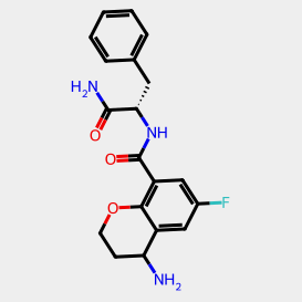 NC(=O)[C@H](Cc1ccccc1)NC(=O)c1cc(F)cc2c1OCCC2N